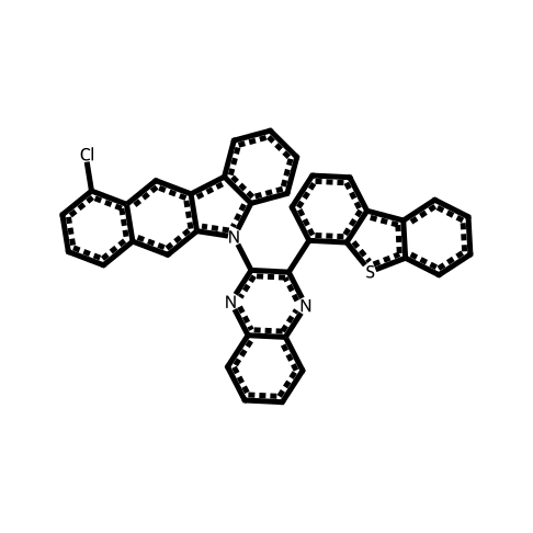 Clc1cccc2cc3c(cc12)c1ccccc1n3-c1nc2ccccc2nc1-c1cccc2c1sc1ccccc12